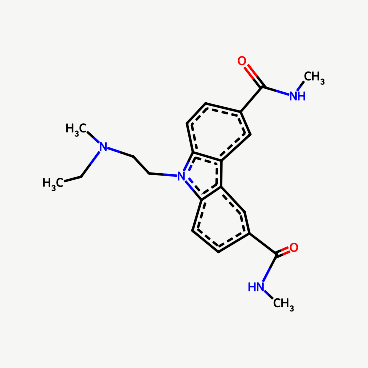 CCN(C)CCn1c2ccc(C(=O)NC)cc2c2cc(C(=O)NC)ccc21